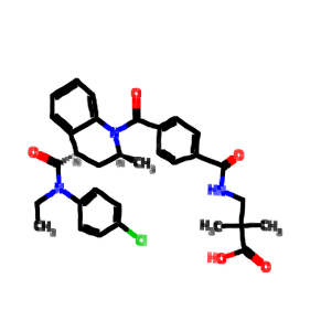 CCN(C(=O)[C@H]1C[C@H](C)N(C(=O)c2ccc(C(=O)NCC(C)(C)C(=O)O)cc2)c2ccccc21)c1ccc(Cl)cc1